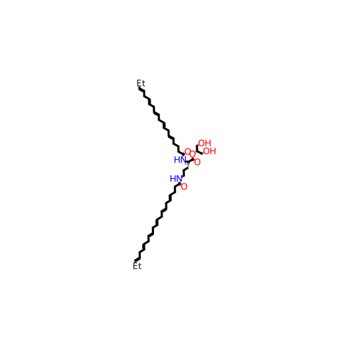 CCC=CCC=CCC=CCC=CCC=CCC=CCCC(=O)NCCC[C@H](NC(=O)CCCC=CCC=CCC=CCC=CCC=CCC)C(=O)OC(CO)CO